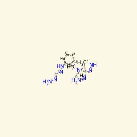 CCN(C)C.N=NC=NN.N=NC=NN.c1ccccc1